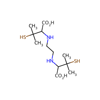 CC(C)(S)C(NCCNC(C(=O)O)C(C)(C)S)C(=O)O